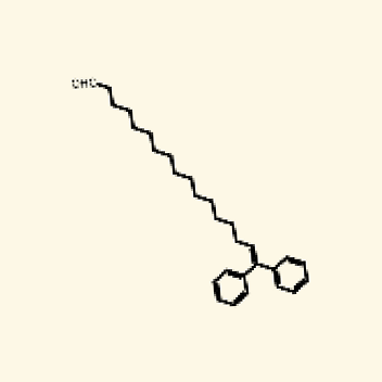 O=CCCCCCCCCCCCCCCC=C(c1ccccc1)c1ccccc1